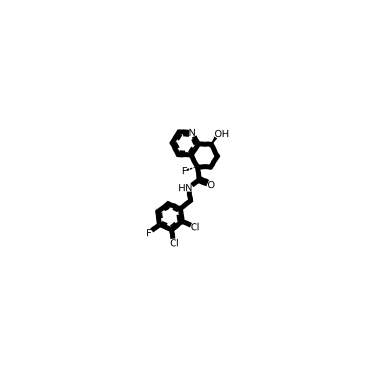 O=C(NCc1ccc(F)c(Cl)c1Cl)[C@]1(F)CC[C@H](O)c2ncccc21